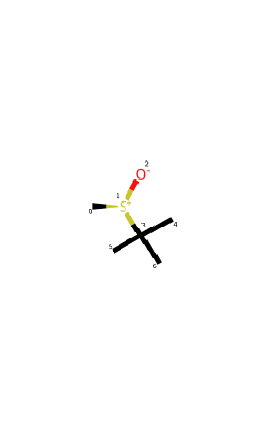 C[S@@+]([O-])C(C)(C)C